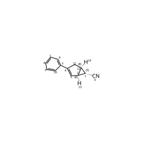 N#C[C@@H]1[C@H]2C=C(c3ccccc3)C[C@@H]12